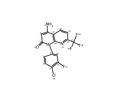 Nc1cc(=O)n(-c2ccc(Cl)c(F)c2)c2nc(C(F)(F)F)ccc12